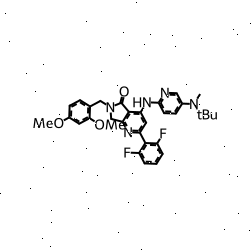 COc1ccc(CN2Cc3nc(-c4c(F)cccc4F)cc(Nc4ccc(N(C)C(C)(C)C)cn4)c3C2=O)c(OC)c1